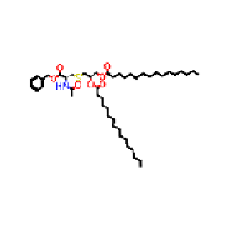 CCCCCCCCCCCCCCCC(=O)OC[C@H](CSC[C@H](NC(C)=O)C(=O)OCc1ccccc1)OC(=O)CCCCCCCCCCCCCCC